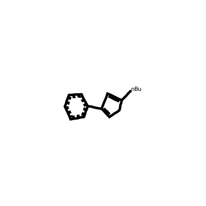 CCCCC1=CC(c2ccccc2)=[C]C1